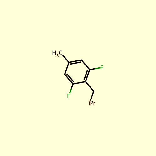 Cc1cc(F)c(CC(C)C)c(F)c1